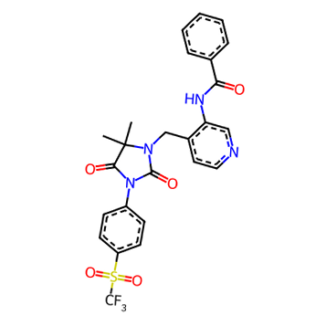 CC1(C)C(=O)N(c2ccc(S(=O)(=O)C(F)(F)F)cc2)C(=O)N1Cc1ccncc1NC(=O)c1ccccc1